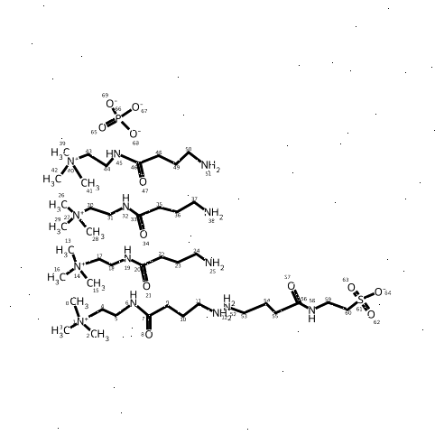 C[N+](C)(C)CCNC(=O)CCCN.C[N+](C)(C)CCNC(=O)CCCN.C[N+](C)(C)CCNC(=O)CCCN.C[N+](C)(C)CCNC(=O)CCCN.NCCCC(=O)NCCS(=O)(=O)[O-].O=P([O-])([O-])[O-]